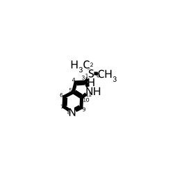 C[SH](C)c1cc2ccncc2[nH]1